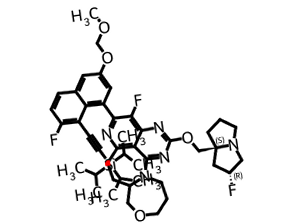 COCOc1cc(-c2nc3c4c(nc(OC[C@@]56CCCN5C[C@H](F)C6)nc4c2F)N2CCCOCC2CC3)c2c(C#C[Si](C(C)C)(C(C)C)C(C)C)c(F)ccc2c1